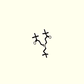 CC(C)(C)CCN(CCC(=O)C(C)(C)C)CCC(=O)C(C)(C)C